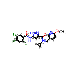 COc1ccc(CN(C(=O)c2cc(NC(=O)c3cc(F)c(F)cc3Cl)[nH]n2)C2CC2)cn1